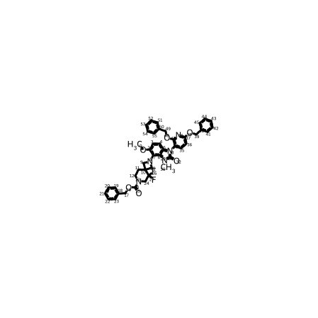 COc1ccc2c(c1N1CC3(CCN(C(=O)OCc4ccccc4)CC3(F)F)C1)n(C)c(=O)n2-c1ccc(OCc2ccccc2)nc1OCc1ccccc1